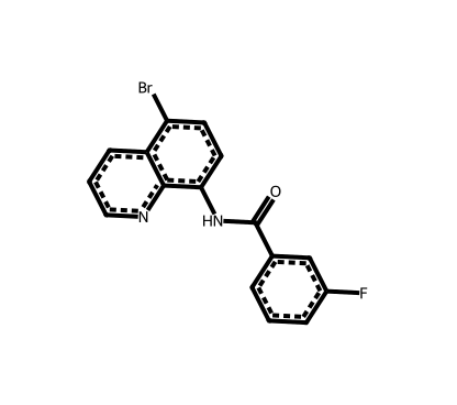 O=C(Nc1ccc(Br)c2cccnc12)c1cccc(F)c1